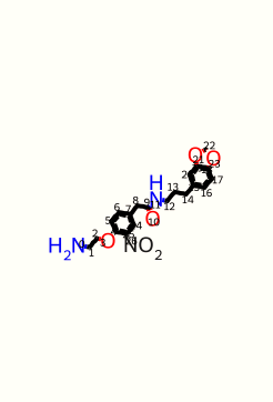 NCCOc1ccc(CC(=O)NCCCc2ccc3c(c2)OCO3)cc1[N+](=O)[O-]